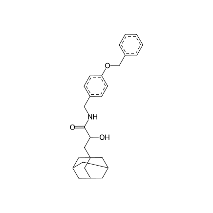 O=C(NCc1ccc(OCc2ccccc2)cc1)C(O)CC12CC3CC(CC(C3)C1)C2